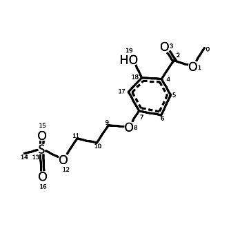 COC(=O)c1ccc(OCCCOS(C)(=O)=O)cc1O